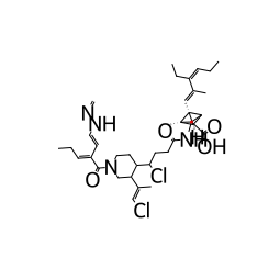 C=NN/C=C/C(=C\CC)C(=O)N1CCC(C(Cl)CCC(=O)NC2(C(=O)O)C3[C@@H]4[C@@]3(/C=C(C)/C(=C\CC)CC)[C@]42C)C(/C(C)=C/Cl)C1